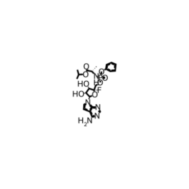 CC(C)OC(=O)[C@H](C)N[P@](=O)(OC[C@@]1(F)O[C@@H](n2ccc3c(N)ncnc32)[C@H](O)[C@@H]1O)Oc1ccccc1